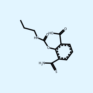 CCCNC(=O)Oc1c(C(=O)O)cccc1C(N)=S